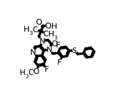 COc1cc2ncc3c(c2cc1F)N(Cc1c(F)cc(SCc2ccccc2)cc1F)C(=O)CN3CC(C)(C)C(=O)O